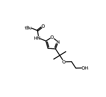 CC(C)(C)C(=O)Nc1cc(C(C)(C)OCCO)no1